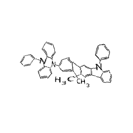 CC1(C)c2cc(N3c4ccccc4N(c4ccccc4)c4ccccc43)ccc2-c2cc3c(cc21)c1ccccc1n3-c1ccccc1